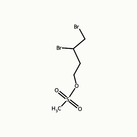 CS(=O)(=O)OCCC(Br)CBr